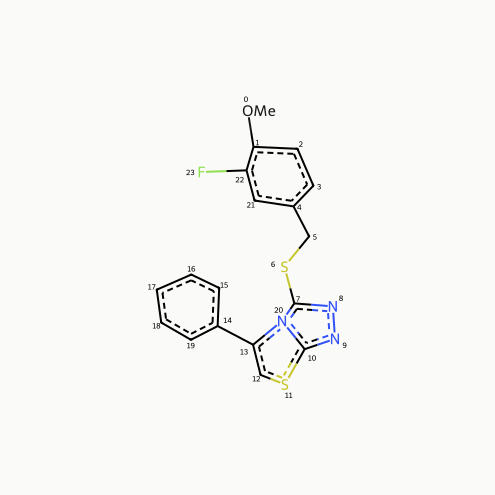 COc1ccc(CSc2nnc3scc(-c4ccccc4)n23)cc1F